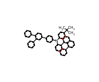 CC(C)(C)c1ccc(N(c2ccc(-c3ccc(-c4ccccc4)c(-c4ccccc4)c3)cc2)c2ccccc2-c2cccc3cccc(-c4ccccc4)c23)cc1